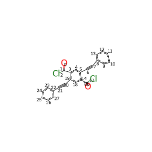 O=C(Cl)c1cc(C#Cc2ccccc2)c(C(=O)Cl)cc1C#Cc1ccccc1